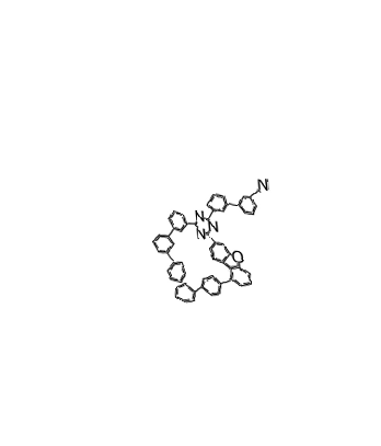 N#Cc1cccc(-c2cccc(-c3nc(-c4cccc(-c5cccc(-c6ccccc6)c5)c4)nc(-c4ccc5c(c4)oc4cccc(-c6ccc(-c7ccccc7)cc6)c45)n3)c2)c1